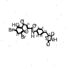 O=C1NC(=O)C(Cc2ccc(NC(=O)c3cc(=O)c4c(O)c(Br)cc(Br)c4o3)cc2)S1